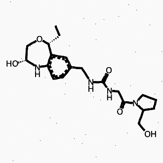 CC[C@H]1OC[C@@H](O)Nc2ccc(CNC(=O)NCC(=O)N3CCCC3CO)cc21